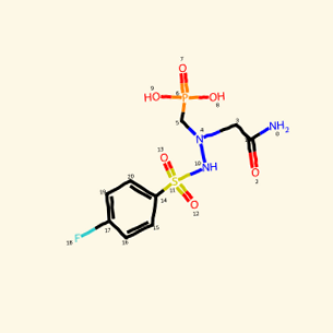 NC(=O)CN(CP(=O)(O)O)NS(=O)(=O)c1ccc(F)cc1